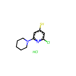 Cl.Sc1cc(Cl)nc(N2CCCCC2)c1